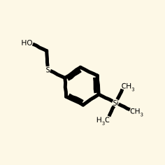 C[Si](C)(C)c1ccc(SCO)cc1